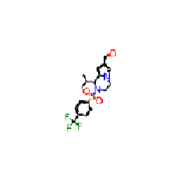 CC(C)C1c2cc(C=O)cn2CCN1S(=O)(=O)c1ccc(C(F)(F)F)cc1